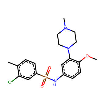 COc1ccc(NS(=O)(=O)c2ccc(C)c(Cl)c2)cc1N1CCN(C)CC1